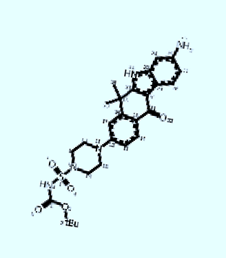 CC(C)(C)OC(=O)NS(=O)(=O)N1CCN(c2ccc3c(c2)C(C)(C)c2[nH]c4cc(N)ccc4c2C3=O)CC1